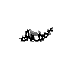 CC(C)(C)c1ccc2sc3cc(CC(C)(C)c4cccc5c4sc4ccccc45)ccc3c2c1